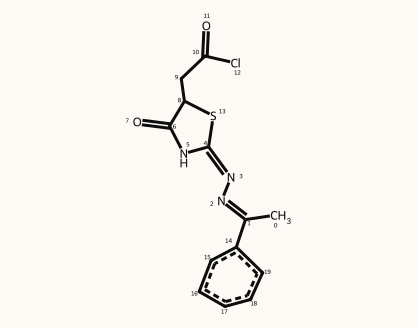 CC(=NN=C1NC(=O)C(CC(=O)Cl)S1)c1ccccc1